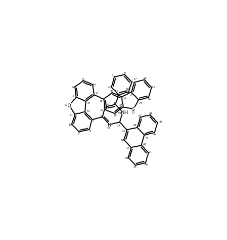 c1ccc(C2=NC(c3cccc4oc5cccc(-c6ccc7sc8ccccc8c7c6)c5c34)=NC(c3cc4ccccc4c4ccccc34)N2)cc1